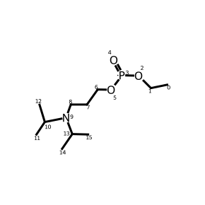 CCO[P](=O)OCCCN(C(C)C)C(C)C